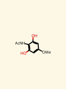 COc1cc(O)c(NC(C)=O)c(O)c1